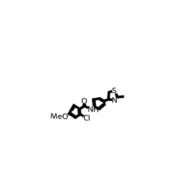 COc1ccc(C(=O)Nc2ccc(C3CSC(C)=N3)cc2)c(Cl)c1